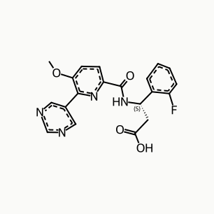 COc1ccc(C(=O)N[C@@H](CC(=O)O)c2ccccc2F)nc1-c1cncnc1